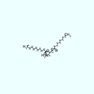 CCCCCCCCCC(=O)OCC(CN)OC(=O)CCCCCCCCC